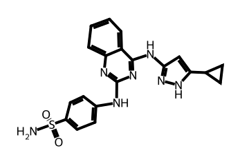 NS(=O)(=O)c1ccc(Nc2nc(Nc3cc(C4CC4)[nH]n3)c3ccccc3n2)cc1